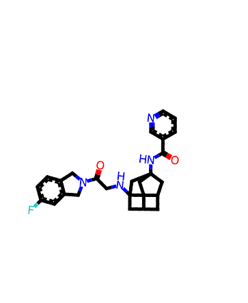 O=C(NC12CC3CC4CC(NCC(=O)N5Cc6ccc(F)cc6C5)(C1)C34C2)c1cccnc1